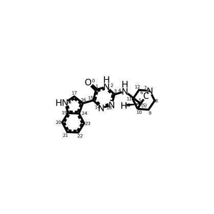 O=c1[nH]c(N[C@@H]2CN3CCC2CC3)nnc1-c1c[nH]c2ccccc12